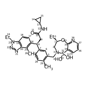 CC[C@@H]1CN(Cc2cc([C@H](CC(=O)NC3CC3)c3ccc4c(nnn4CC)c3C)ccc2C)S(O)(O)c2cccnc2O1